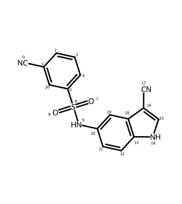 N#Cc1cccc(S(=O)(=O)Nc2ccc3[nH]cc(C#N)c3c2)c1